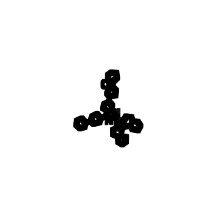 c1ccc(-c2ccc(-c3nc(-n4c5ccc6ccccc6c5c5c6ccccc6ccc54)nc4cc(-c5ccc6c(c5)oc5ccccc56)ccc34)cc2)cc1